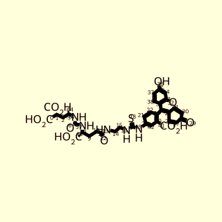 O=C(O)CC[C@H](NC(=O)N[C@@H](CCC(=O)NCCNC(=S)Nc1ccc(-c2c3ccc(=O)cc-3oc3cc(O)ccc23)c(C(=O)O)c1)C(=O)O)C(=O)O